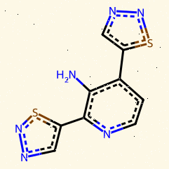 Nc1c(-c2cnns2)ccnc1-c1cnns1